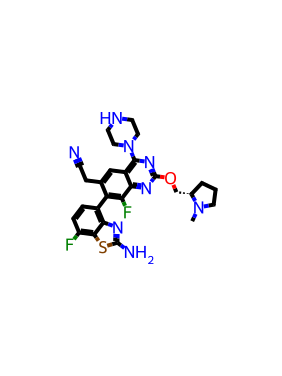 CN1CCC[C@H]1COc1nc(N2CCNCC2)c2cc(CC#N)c(-c3ccc(F)c4sc(N)nc34)c(F)c2n1